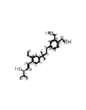 CCc1cc(C(C)(C)CCc2ccc(CO)c(CO)c2)ccc1/C=C/C(O)C(C)C